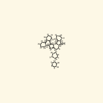 c1ccc(-c2ccc(-c3cc4[nH]c5ccccc5c4c4c3sc3c5ccccc5c5ccccc5c34)cc2)cc1